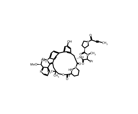 CC#CC(=O)N1CC[C@H](C(=O)N(C)C(C(=O)N[C@H]2Cc3cc(O)cc(c3)-c3ccc4c(c3)c(c(-c3cccnc3[C@H](C)OC)n4CC)CC(C)(C)COC(=O)[C@@H]3CCCN(N3)C2=O)C(C)C)C1